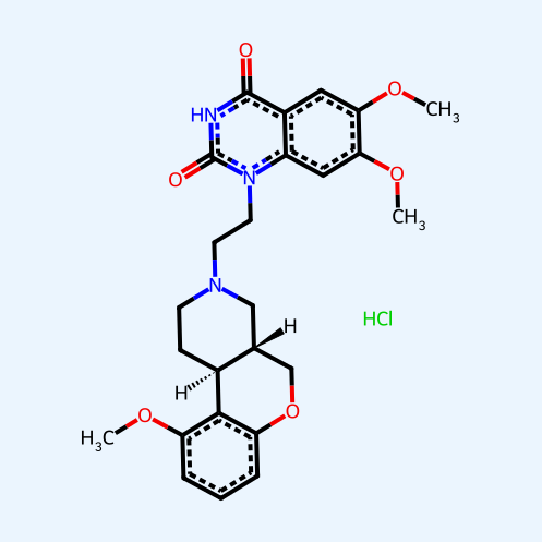 COc1cc2c(=O)[nH]c(=O)n(CCN3CC[C@@H]4c5c(OC)cccc5OC[C@H]4C3)c2cc1OC.Cl